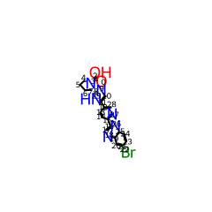 O=C(O)N1CCC[C@H]1c1ncc(-c2ccc(-c3cnc4cc(Br)ccc4n3)nc2)[nH]1